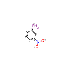 O=[N+]([O-])c1cccc(P)c1